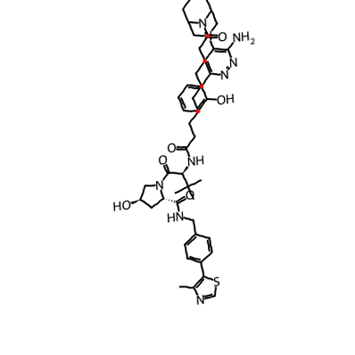 Cc1ncsc1-c1ccc(CNC(=O)[C@@H]2C[C@@H](O)CN2C(=O)[C@@H](NC(=O)CCCCCCCCC(=O)N2C3CCCC2CN(c2cc(-c4ccccc4O)nnc2N)C3)C(C)(C)C)cc1